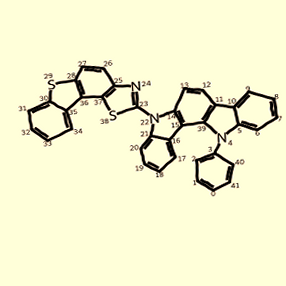 c1ccc(-n2c3ccccc3c3ccc4c(c5ccccc5n4-c4nc5ccc6sc7ccccc7c6c5s4)c32)cc1